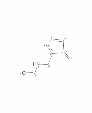 C=C1C=CC=C1CNC=O